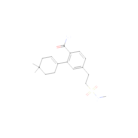 CC1(C)CC=C(c2cc(CCS(=O)(=O)NC(C)(C)C)ccc2C(N)=O)CC1